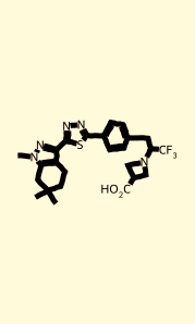 Cn1nc(-c2nnc(-c3ccc(CC(N4CC(C(=O)O)C4)C(F)(F)F)cc3)s2)c2c1CC(C)(C)CC2